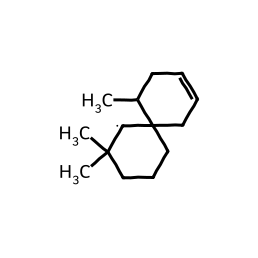 CC1CC=CCC12[CH]C(C)(C)CCC2